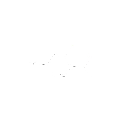 O=C(c1ccc(C(F)(F)F)cc1F)C(F)(F)F